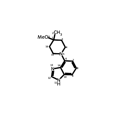 COC1(C)CCN(c2cccc3[nH]cnc23)CC1